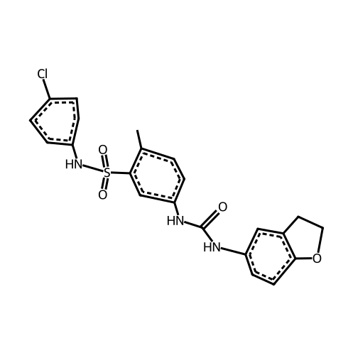 Cc1ccc(NC(=O)Nc2ccc3c(c2)CCO3)cc1S(=O)(=O)Nc1ccc(Cl)cc1